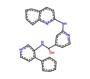 OC(Nc1cnccc1-c1ccccc1)c1ccnc(Nc2ccc3ccccc3n2)c1